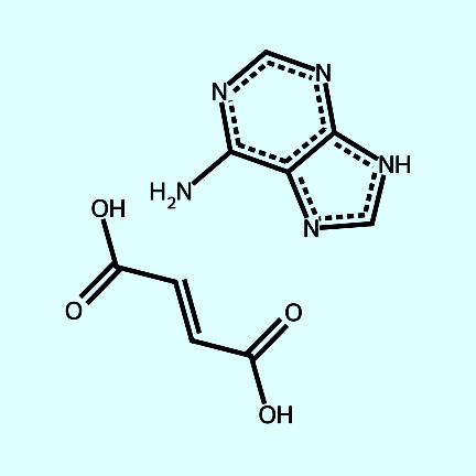 Nc1ncnc2[nH]cnc12.O=C(O)/C=C/C(=O)O